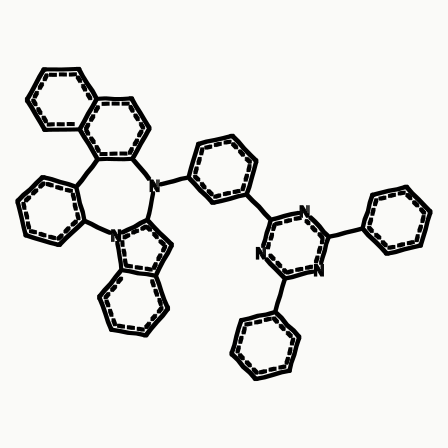 c1ccc(-c2nc(-c3ccccc3)nc(-c3cccc(N4c5ccc6ccccc6c5-c5ccccc5-n5c4cc4ccccc45)c3)n2)cc1